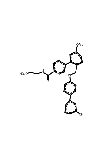 COc1ccc(CNc2ccc(-c3cccc(O)c3)cc2)c(-c2ccc(C(=O)NCCC(=O)O)nc2)c1